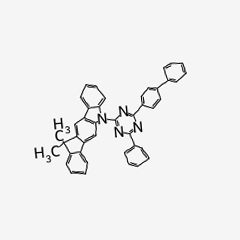 CC1(C)c2ccccc2-c2cc3c(cc21)c1ccccc1n3-c1nc(-c2ccccc2)nc(-c2ccc(-c3ccccc3)cc2)n1